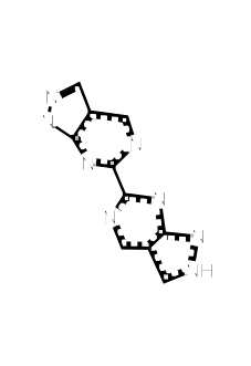 C1=N[N]c2nc(-c3ncc4c[nH]nc4n3)ncc21